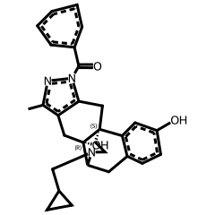 Cc1nn(C(=O)c2ccccc2)c2c1C[C@]1(O)C3Cc4ccc(O)cc4[C@]1(CCN3CC1CC1)C2